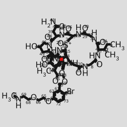 CC[C@H](C)[C@@H]1NC(=O)CNC(=O)C2Cc3c([nH]c4cc(O)ccc34)[S@+]([O-])CC(NC(=O)CNC1=O)C(=O)NC(CC(N)=O)C(=O)N1CC(O)CC1C(=O)N[C@@H]([C@@H](C)[C@@H]1COC(c3cc(OCCOCCNC)ccc3Br)O1)C(=O)N2